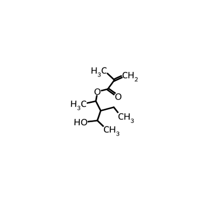 C=C(C)C(=O)OC(C)C(CC)C(C)O